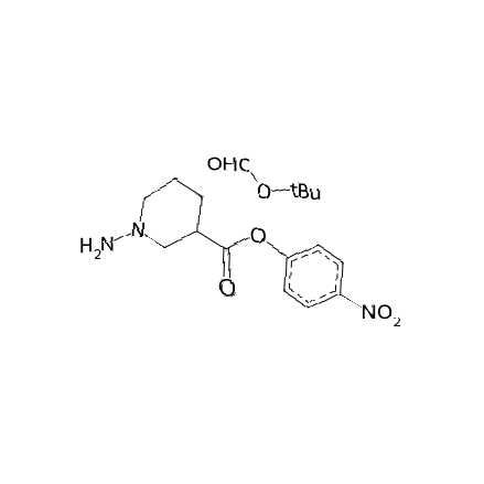 CC(C)(C)OC=O.NN1CCCC(C(=O)Oc2ccc([N+](=O)[O-])cc2)C1